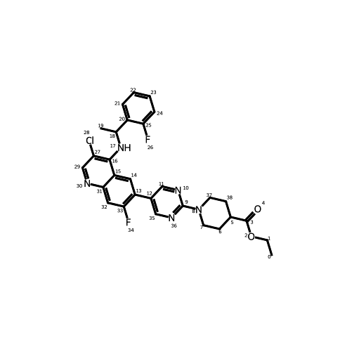 CCOC(=O)C1CCN(c2ncc(-c3cc4c(NC(C)c5ccccc5F)c(Cl)cnc4cc3F)cn2)CC1